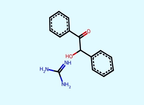 N=C(N)N.O=C(c1ccccc1)C(O)c1ccccc1